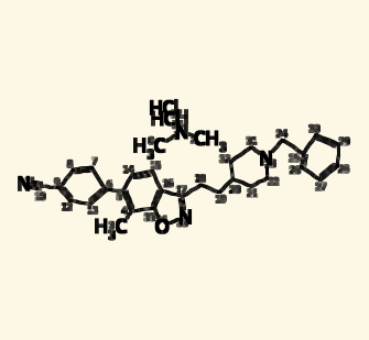 CNC.Cc1c(-c2ccc(C#N)cc2)ccc2c(CCC3CCN(Cc4ccccc4)CC3)noc12.Cl.Cl